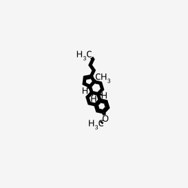 CCCCC1=CC[C@H]2[C@@H]3CCc4cc(OC)ccc4[C@H]3CC[C@]12C